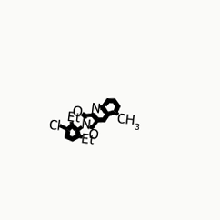 CCc1ccc(Cl)c(CC)c1N1C(=O)c2cc3c(C)cccc3nc2C1=O